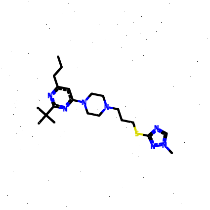 CCCc1cc(N2CCN(CCCSc3ncn(C)n3)CC2)nc(C(C)(C)C)n1